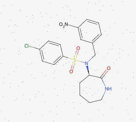 O=C1NCCCC[C@H]1N(Cc1cccc([N+](=O)[O-])c1)S(=O)(=O)c1ccc(Cl)cc1